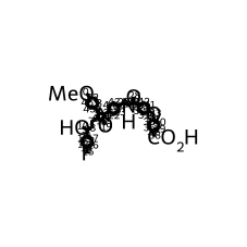 COc1ccc(C2C(CCC(O)c3ccc(F)cc3)C(=O)N2c2ccc(CNC(=O)c3ccc(Oc4ccc(C(=O)O)cc4)cc3)cc2)cc1